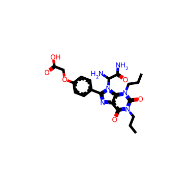 CCCn1c(=O)c2nc(-c3ccc(OCC(=O)O)cc3)n(C(N)C(N)=O)c2n(CCC)c1=O